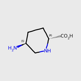 N[C@H]1CC[C@H](C(=O)O)NC1